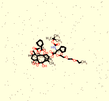 CCCOCCOCC(=O)O[C@@H](C(=O)O[C@H]1C[C@@]2(O)[C@@H](OC(=O)c3ccccc3)[C@@H]3[C@]4(OC(C)=O)CO[C@@H]4C[C@H](O)[C@@]3(C)C(=O)[C@H](O)C(=C1C)C2(C)C)[C@@H](NC(=O)OC(C)(C)C)c1ccccc1